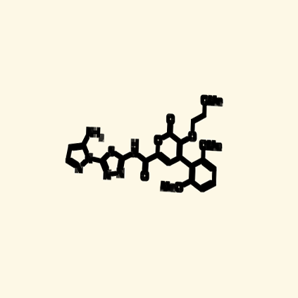 COCCOc1c(-c2c(OC)cccc2OC)cc(C(=O)Nc2nnc(-n3nccc3N)s2)oc1=O